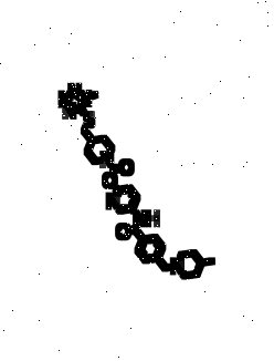 CC1CCN(Cc2ccc(C(=O)Nc3ccc(OC(=O)N4CCC(CSc5nnnn5C)CC4)nc3)cc2)CC1